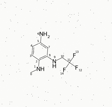 CNc1ccc(N)cc1NCC(F)(F)F